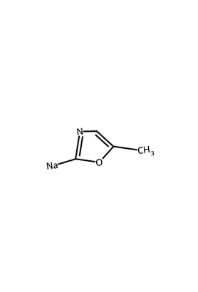 Cc1cn[c]([Na])o1